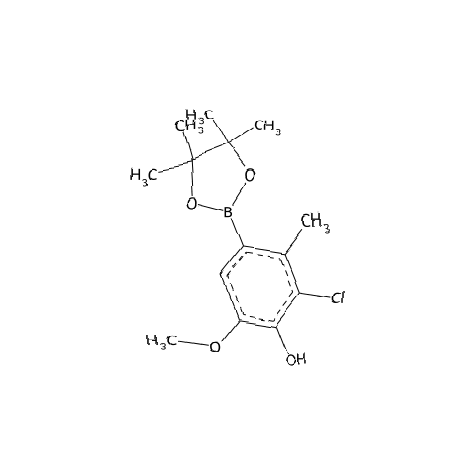 COc1cc(B2OC(C)(C)C(C)(C)O2)c(C)c(Cl)c1O